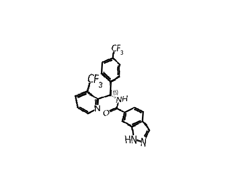 O=C(N[C@@H](c1ccc(C(F)(F)F)cc1)c1ncccc1C(F)(F)F)c1ccc2cn[nH]c2c1